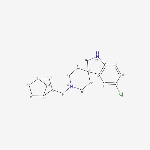 Clc1ccc2c(c1)C1(CCN(CC3CC4CCC3C4)CC1)CN2